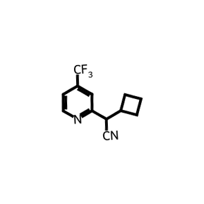 N#CC(c1cc(C(F)(F)F)ccn1)C1CCC1